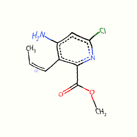 C/C=C\c1c(N)cc(Cl)nc1C(=O)OC